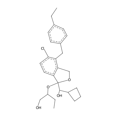 CCc1ccc(Cc2c(Cl)ccc3c2COC3(OC(CC)CO)C(O)C2CCC2)cc1